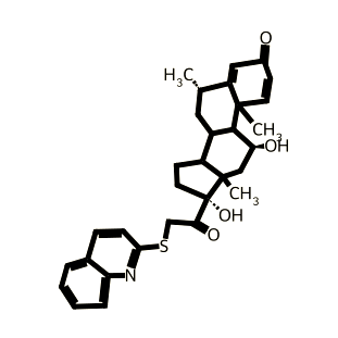 C[C@H]1CC2C([C@@H](O)CC3(C)C2CC[C@]3(O)C(=O)CSc2ccc3ccccc3n2)C2(C)C=CC(=O)C=C12